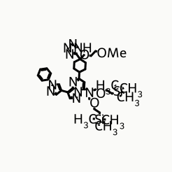 COCCOC1(c2nnn[nH]2)CCC(c2cc(N(COCC[Si](C)(C)C)COCC[Si](C)(C)C)n3ncc(-c4cnn(-c5ccccc5)c4)c3n2)CC1